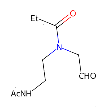 CCC(=O)N(CC=O)CCNC(C)=O